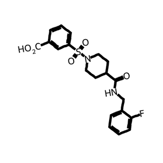 O=C(O)c1cccc(S(=O)(=O)N2CCC(C(=O)NCc3ccccc3F)CC2)c1